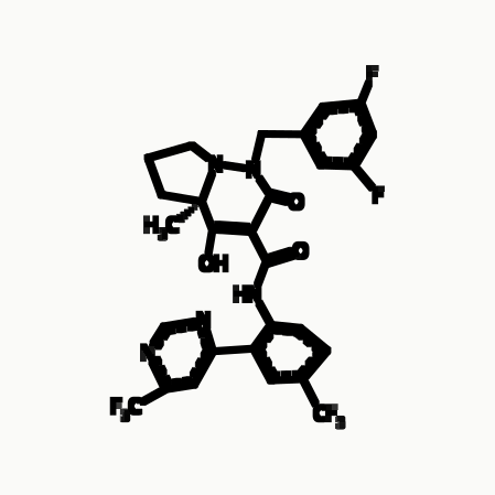 C[C@]12CCCN1N(Cc1cc(F)cc(F)c1)C(=O)C(C(=O)Nc1ccc(C(F)(F)F)cc1-c1cc(C(F)(F)F)ncn1)=C2O